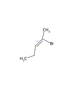 CC/C=C(/C)Br